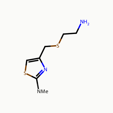 CNc1nc(CSCCN)cs1